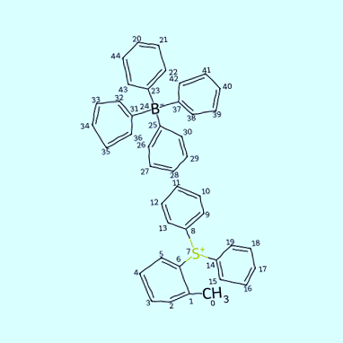 Cc1ccccc1[S+](c1ccccc1)c1ccccc1.c1ccc([B-](c2ccccc2)(c2ccccc2)c2ccccc2)cc1